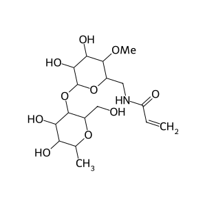 C=CC(=O)NCC1OC(OC2C(CO)OC(C)C(O)C2O)C(O)C(O)C1OC